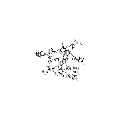 N=C(N)NCCC[C@H](NC(=O)[C@H](CCCNC(=N)N)NC(=O)[C@H](CCCNC(=N)N)NC(=O)[C@H](CCCNC(=N)N)NC(=O)[C@H](CCCNC(=N)N)NC(=O)[C@H](CCCNC(=N)N)NC(=O)CNC(=O)CNC(=O)c1ccc2[nH]nnc2c1)C(N)=O